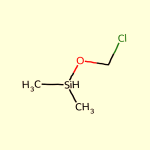 C[SiH](C)OCCl